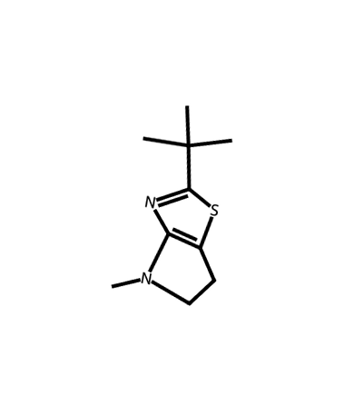 CN1CCc2sc(C(C)(C)C)nc21